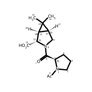 CC(=O)N1CCC[C@@H]1C(=O)N1C[C@H]2[C@@H]([C@H]1C(=O)O)C2(C)C